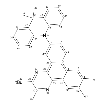 Cc1cc2c3ccc(N4c5ccccc5C(C)(C)c5ccccc54)cc3c3nc(C(C)(C)C)c(C)nc3c2cc1C